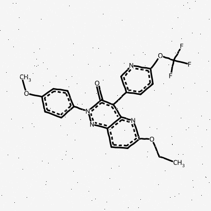 CCOc1ccc2nn(-c3ccc(OC)cc3)c(=O)c(-c3ccc(OC(F)(F)F)nc3)c2n1